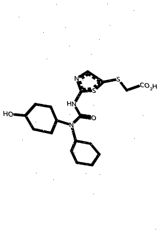 O=C(O)CSc1cnc(NC(=O)N(C2CCCCC2)C2CCC(O)CC2)s1